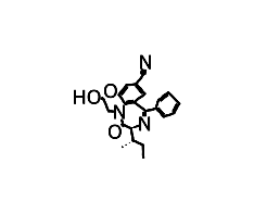 CC[C@H](C)[C@@H]1N=C(c2ccccc2)c2cc(C#N)ccc2N(CC(=O)O)C1=O